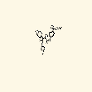 CC(NC(=O)c1c(CCc2ccc(F)cc2)sc2c1CCOC2)c1ccc(C(=O)O)cc1